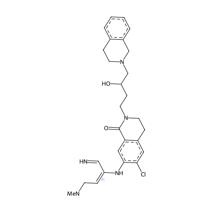 CNC/C=C(\C=N)Nc1cc2c(cc1Cl)CCN(CCC(O)CN1CCc3ccccc3C1)C2=O